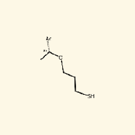 CC(=O)[C@@H](C)OCCCS